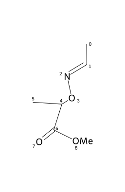 CC=NOC(C)C(=O)OC